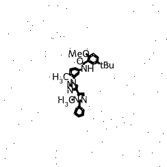 COc1ccc(C(C)(C)C)cc1C(=O)Nc1ccc(C)c(-n2cc(-c3cnc(-c4ccccc4)n3C)nn2)c1